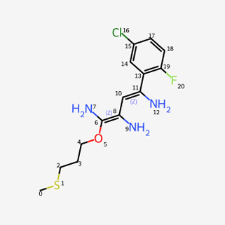 CSCCCO/C(N)=C(N)/C=C(\N)c1cc(Cl)ccc1F